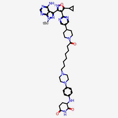 CC(C)(C)n1nc(-c2noc(C3CC3)c2-c2ncc(C3CCN(C(=O)CCCCCCCN4CCN(c5ccc(NC6CCC(=O)NC6=O)cc5)CC4)CC3)cn2)c2c(N)ncnc21